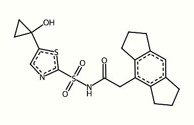 O=C(Cc1c2c(cc3c1CCC3)CCC2)NS(=O)(=O)c1ncc(C2(O)CC2)s1